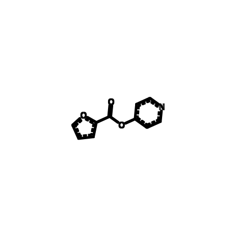 O=C(Oc1ccncc1)c1ccco1